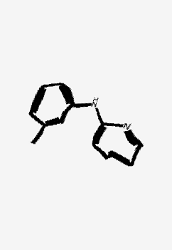 Cc1cccc(Nc2ccccn2)c1